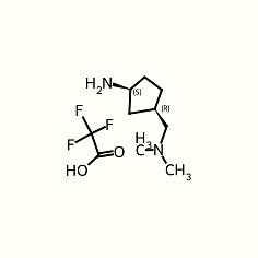 CN(C)C[C@@H]1CC[C@H](N)C1.O=C(O)C(F)(F)F